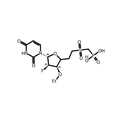 CCO[C@@H]1C(CCS(=O)(=O)CP(=O)(O)O)O[C@@H](n2ccc(=O)[nH]c2=O)[C@@H]1F